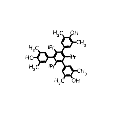 Cc1cc(-c2c(C(C)C)c(-c3cc(C)c(O)c(C)c3)c(C(C)C)c(-c3cc(C)c(O)c(C)c3)c2C(C)C)cc(C)c1O